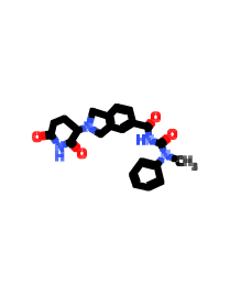 CN(C(=O)NC(=O)c1ccc2c(c1)CN(C1CCC(=O)NC1=O)C2)c1ccccc1